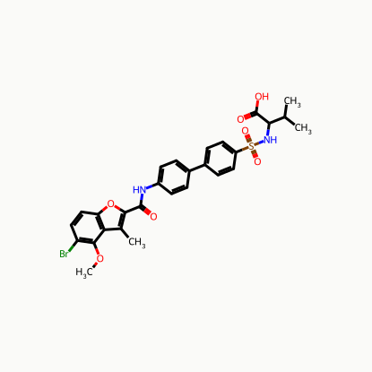 COc1c(Br)ccc2oc(C(=O)Nc3ccc(-c4ccc(S(=O)(=O)NC(C(=O)O)C(C)C)cc4)cc3)c(C)c12